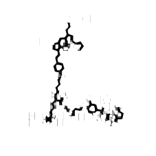 CC1=CC(/C=C/c2ccc(OCCCC(=O)NC(CCCN[N+](C)(C)C)C(=O)NCCN(C)CCOc3cc([N+](=O)[O-])c(C(C)OC(=O)ON4C(=O)CCC4=O)cc3C=O)cc2)=[N+]2C1=Cc1c(CCCS(=O)(=O)O)cc(-c3cccs3)n1[B-]2(F)F